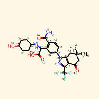 CC1(C)CC(=O)c2c(C(F)(F)F)nn(-c3ccc(C(N)=O)c(C(NC4CCC(O)CC4)C(=O)O)c3)c2C1